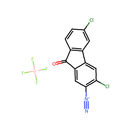 F[B-](F)(F)F.N#[N+]c1cc2c(cc1Cl)-c1cc(Cl)ccc1C2=O